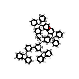 c1ccc([Si](c2ccccc2)(c2ccccc2)c2ccc3nc4n(-c5cc(-c6cccc(-n7c8ccccc8c8ccccc87)c6)cc(-n6c7ccccc7c7ccccc76)n5)c5ccc([Si](c6ccccc6)(c6ccccc6)c6ccccc6)cc5n4c3c2)cc1